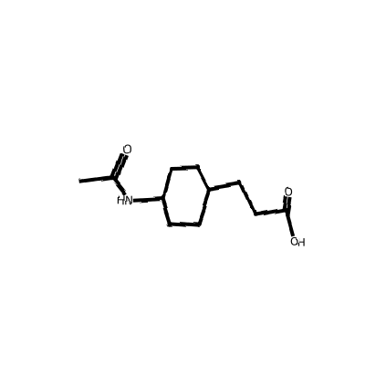 CC(=O)NC1CCC(CCC(=O)O)CC1